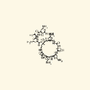 CCCCCCCC(=O)N[C@@H](CCN)C(=O)N[C@H](C(=O)N[C@@H](CCN)C(=O)N[C@H]1CCNC(=O)[C@H]([C@@H](C)O)NC(=O)[C@H](CCN)NC(=O)[C@H](CCN)NC(=O)[C@H](CO)NC(=O)CNC(=O)[C@H](CCN)NC1=O)[C@@H](C)O